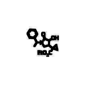 CCOC(=O)C1(C2CN(C(C)c3ccccc3)C(=O)C2O)CC1